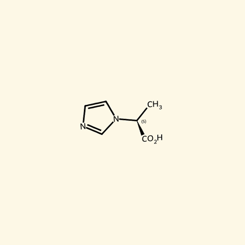 C[C@@H](C(=O)O)n1ccnc1